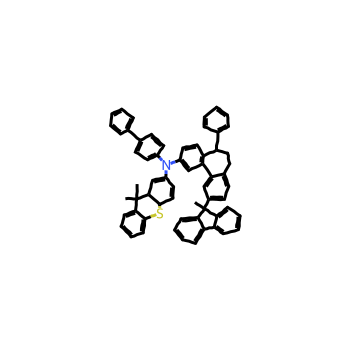 CC1(c2ccc3c(c2)-c2cc(N(C4=CC5C(C=C4)Sc4ccccc4C5(C)C)c4ccc(-c5ccccc5)cc4)ccc2C(c2ccccc2)CC3)c2ccccc2-c2ccccc21